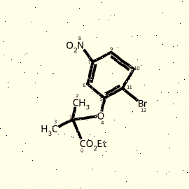 CCOC(=O)C(C)(C)Oc1cc([N+](=O)[O-])ccc1Br